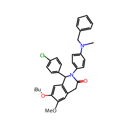 CC[C@@H](C)Oc1cc2c(cc1OC)CC(=O)N(c1ccc(N(C)Cc3ccccc3)cc1)C2c1ccc(Cl)cc1